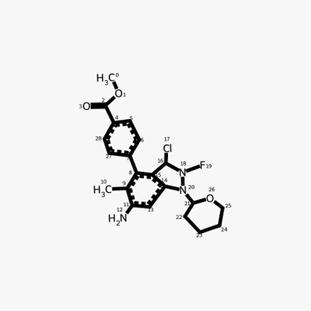 COC(=O)c1ccc(-c2c(C)c(N)cc3c2C(Cl)N(F)N3C2CCCCO2)cc1